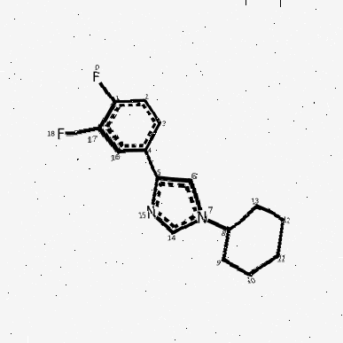 Fc1ccc(-c2cn(C3CCCCC3)cn2)cc1F